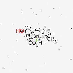 CC1=CC(C2CCC(C3C=CC(O)CC3CCC(=O)O)C=C2CF)CCC1